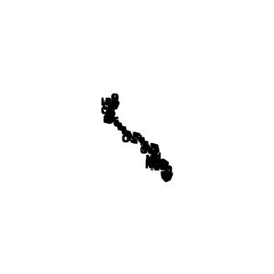 Nc1ncnc2c1c(-c1ccc(Oc3ccccc3)cc1)nn2C1CCCN(C(=O)/C=C/CN2CCN(C(=O)CCCCCCSc3cccc4c3CN(C3CCC(=O)NC3=O)C4=O)CC2)C1